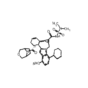 COc1ccc(C2CCCCC2)c2c1cc1n2CC2=C(C(=O)NS(=O)(=O)N(C)C)C2=C2C=CC[C@@H](C(=O)N3C4CCC3COC4)C21